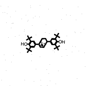 CC(C)(C)c1cc(C2CCC3C(c4cc(C(C)(C)C)c(O)c(C(C)(C)C)c4)CCC2[S+]3[O-])cc(C(C)(C)C)c1O